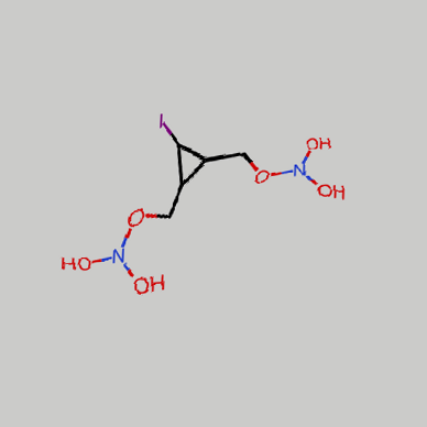 ON(O)OCC1C(I)C1CON(O)O